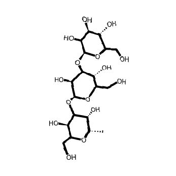 C[C@@H]1OC(CO)[C@@H](O)C(O[C@@H]2OC(CO)[C@@H](O)C(O[C@@H]3OC(CO)[C@@H](O)[C@H](O)C3O)[C@@H]2O)[C@@H]1O